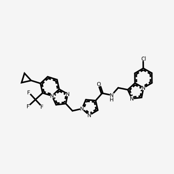 O=C(NCc1ncn2ccc(Cl)cc12)c1cnn(Cc2cn3c(C(F)(F)F)c(C4CC4)ccc3n2)c1